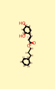 O=C(/C=C/c1ccc(O)cc1O)OCCCc1ccccc1